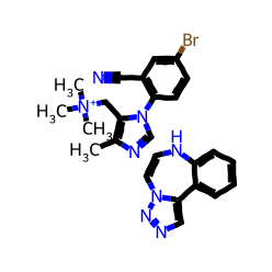 C1=Cn2nncc2-c2ccccc2N1.Cc1ncn(-c2ccc(Br)cc2C#N)c1C[N+](C)(C)C